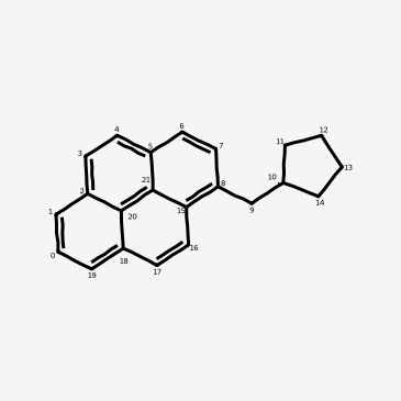 c1cc2ccc3ccc(C[C]4CCCC4)c4ccc(c1)c2c34